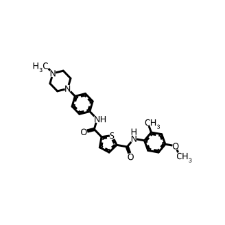 COc1ccc(NC(=O)c2ccc(C(=O)Nc3ccc(N4CCN(C)CC4)cc3)s2)c(C)c1